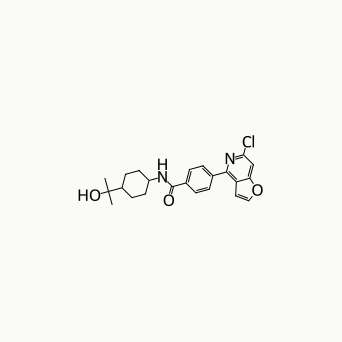 CC(C)(O)C1CCC(NC(=O)c2ccc(-c3nc(Cl)cc4occc34)cc2)CC1